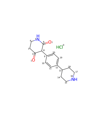 Cl.O=C1CCNC(=O)C1c1ccc(C2CCNCC2)cc1